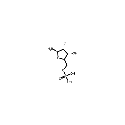 B[C@@H]1OC(COP(=O)(O)O)[C@@H](O)[C@H]1Cl